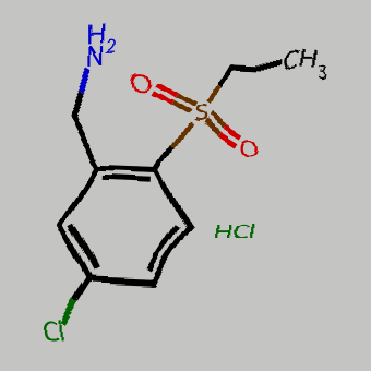 CCS(=O)(=O)c1ccc(Cl)cc1CN.Cl